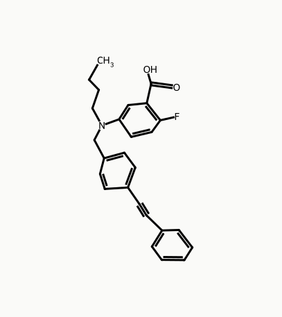 CCCCN(Cc1ccc(C#Cc2ccccc2)cc1)c1ccc(F)c(C(=O)O)c1